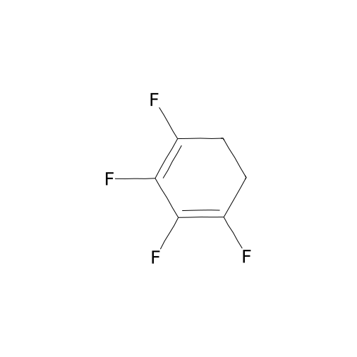 FC1=C(F)C(F)=C(F)CC1